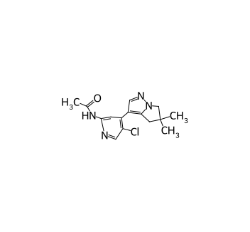 CC(=O)Nc1cc(-c2cnn3c2CC(C)(C)C3)c(Cl)cn1